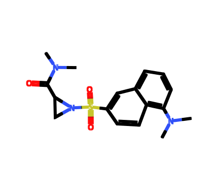 CN(C)C(=O)C1CN1S(=O)(=O)c1ccc2c(N(C)C)cccc2c1